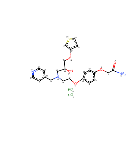 Cl.Cl.NC(=O)COc1ccc(OCCN(Cc2ccncc2)CC(O)COc2ccsc2)cc1